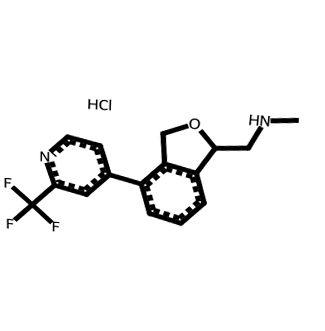 CNCC1OCc2c(-c3ccnc(C(F)(F)F)c3)cccc21.Cl